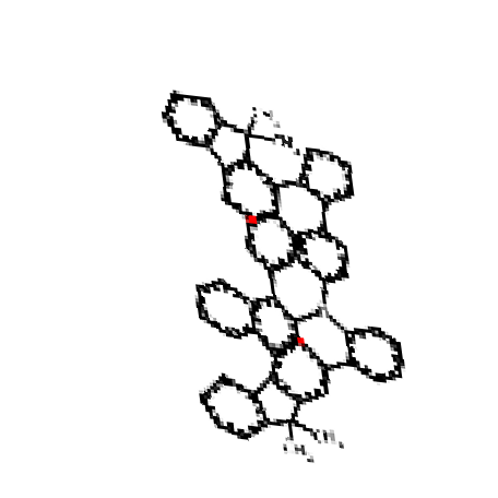 CC1(C)c2ccccc2-c2ccc(-c3ccccc3N(c3ccc(-c4ccccc4-c4cccc5c4C(C)(C)c4ccccc4-5)cc3)c3ccc4ccccc4c3-c3ccccc3)cc21